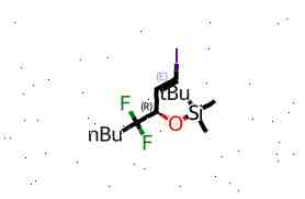 CCCCC(F)(F)[C@@H](/C=C/I)O[Si](C)(C)C(C)(C)C